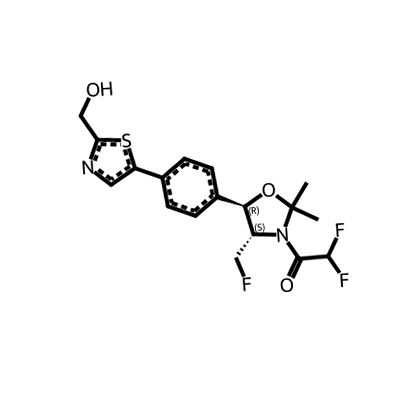 CC1(C)O[C@H](c2ccc(-c3cnc(CO)s3)cc2)[C@@H](CF)N1C(=O)C(F)F